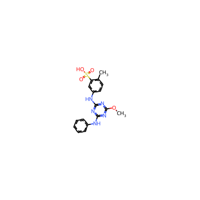 COc1nc(Nc2ccccc2)nc(Nc2ccc(C)c(S(=O)(=O)O)c2)n1